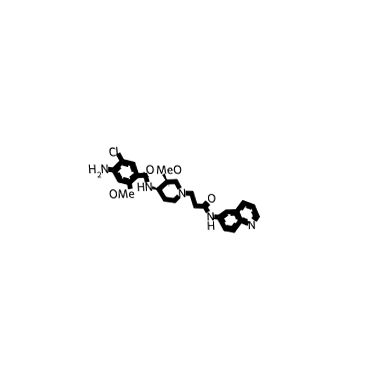 COc1cc(N)c(Cl)cc1C(=O)N[C@@H]1CCN(CCC(=O)Nc2ccc3ncccc3c2)C[C@@H]1OC